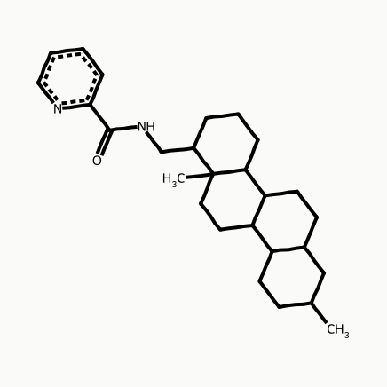 CC1CCC2C(CCC3C2CCC2(C)C(CNC(=O)c4ccccn4)CCCC32)C1